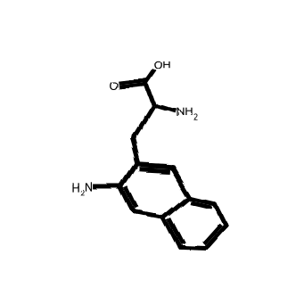 Nc1cc2ccccc2cc1CC(N)C(=O)O